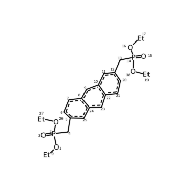 CCOP(=O)(Cc1ccc2cc3cc(CP(=O)(OCC)OCC)ccc3cc2c1)OCC